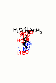 CC(C)OC(=O)OC[C@H]1O[C@@](C#N)(c2ccc3c(NC(=O)O)ncnn23)[C@H](O)[C@@H]1OC(=O)OC(C)C